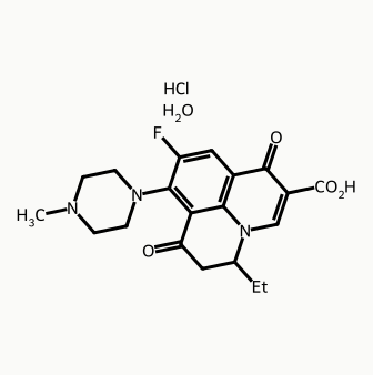 CCC1CC(=O)c2c(N3CCN(C)CC3)c(F)cc3c(=O)c(C(=O)O)cn1c23.Cl.O